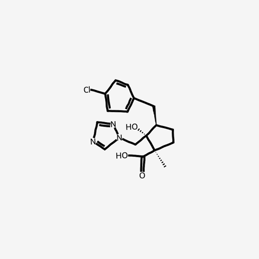 C[C@@]1(C(=O)O)CC[C@H](Cc2ccc(Cl)cc2)[C@]1(O)Cn1cncn1